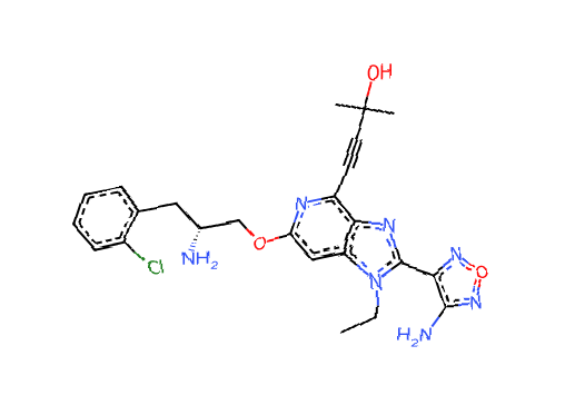 CCn1c(-c2nonc2N)nc2c(C#CC(C)(C)O)nc(OC[C@H](N)Cc3ccccc3Cl)cc21